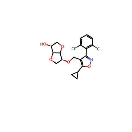 O[C@H]1COC2C1OC[C@@H]2OCc1c(-c2c(Cl)cccc2Cl)noc1C1CC1